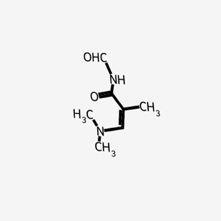 C/C(=C/N(C)C)C(=O)NC=O